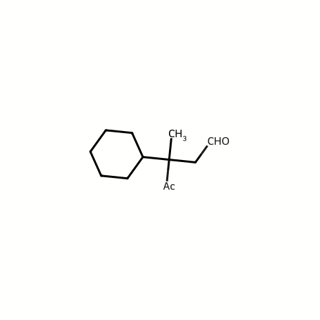 CC(=O)C(C)(CC=O)C1CCCCC1